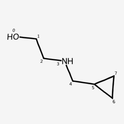 OCCNCC1CC1